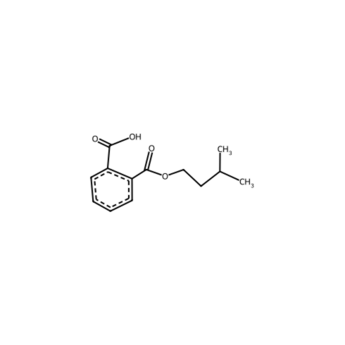 CC(C)CCOC(=O)c1ccccc1C(=O)O